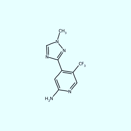 Cn1cnc(-c2cc(N)ncc2C(F)(F)F)n1